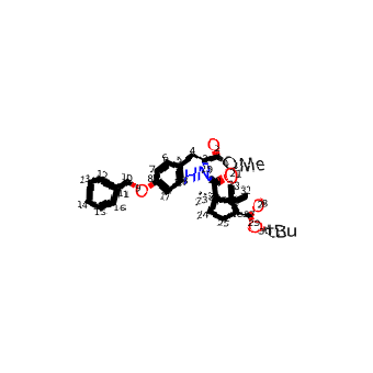 COC(=O)[C@H](Cc1ccc(OCc2ccccc2)cc1)NC(=O)[C@]1(C)CC[C@H](C(=O)OC(C)(C)C)C1(C)C